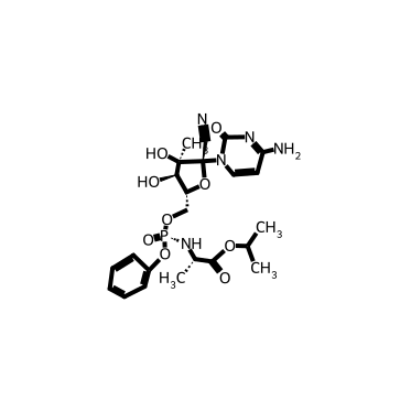 CC(C)OC(=O)[C@H](C)N[P@](=O)(OC[C@H]1O[C@@](C#N)(n2ccc(N)nc2=O)[C@](C)(O)[C@@H]1O)Oc1ccccc1